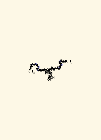 CCCCC/C=C\C/C=C\C/C=C\C/C=C\CCCCCC(=O)O[C@H](COC(=O)CCCC/C=C\C/C=C\C/C=C\CCCCC)COP(=O)(O)OC[C@@H](O)CO